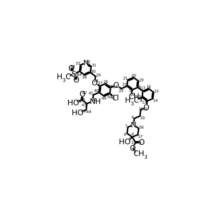 COC(=O)C1(O)CCN(CCCOc2cccc(-c3cccc(COc4cc(OCc5cncc(S(C)(=O)=O)c5)c(CNC(CO)C(=O)O)cc4Cl)c3C)c2C)CC1